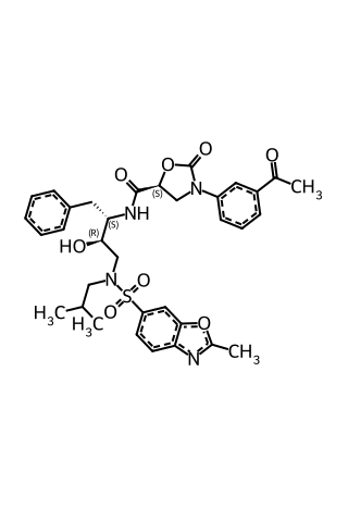 CC(=O)c1cccc(N2C[C@@H](C(=O)N[C@@H](Cc3ccccc3)[C@H](O)CN(CC(C)C)S(=O)(=O)c3ccc4nc(C)oc4c3)OC2=O)c1